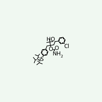 CC(C)[Si](Sc1ccc(CC(C[C@@H](O)c2cccc(Cl)c2)(OC(N)=O)C(C)(C)C)cc1)(C(C)C)C(C)C